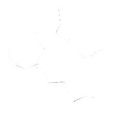 CCCCC(CC)C[O-].C[CH2][Al+][CH2]C